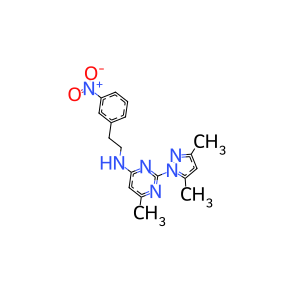 Cc1cc(NCCc2cccc([N+](=O)[O-])c2)nc(-n2nc(C)cc2C)n1